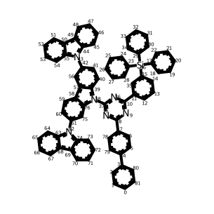 c1ccc(-c2ccc(-c3nc(-c4cccc([Si](c5ccccc5)(c5ccccc5)c5ccccc5)c4)nc(-n4c5ccc(-n6c7ccccc7c7ccccc76)cc5c5ccc(-n6c7ccccc7c7ccccc76)cc54)n3)cc2)cc1